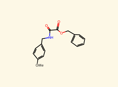 COc1ccc(CNC(=O)C(=O)OCc2ccccc2)cc1